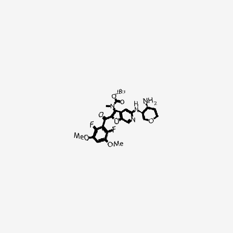 COc1cc(OC)c(F)c(C(=O)c2oc3cnc(N[C@@H]4COCC[C@@H]4N)cc3c2N(C)C(=O)OC(C)(C)C)c1F